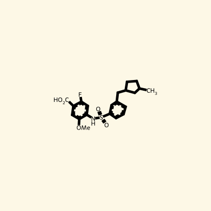 COc1cc(C(=O)O)c(F)cc1NS(=O)(=O)c1cccc(CC2CCC(C)C2)c1